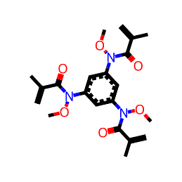 C=C(C)C(=O)N(OC)c1cc(N(OC)C(=O)C(=C)C)cc(N(OC)C(=O)C(=C)C)c1